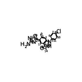 Cc1cc(Nc2ccc(Cl)cc2)c(S(C)(=O)=O)cc1C(=O)N=C(N)N